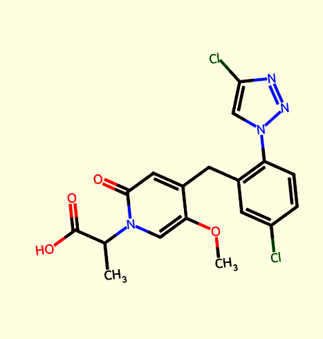 COc1cn(C(C)C(=O)O)c(=O)cc1Cc1cc(Cl)ccc1-n1cc(Cl)nn1